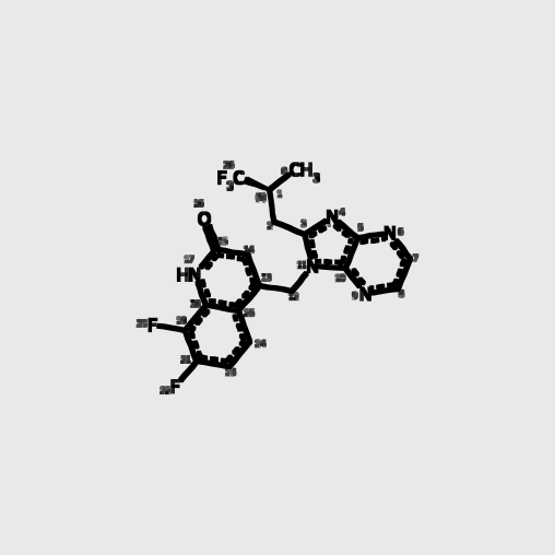 C[C@@H](Cc1nc2nccnc2n1Cc1cc(=O)[nH]c2c(F)c(F)ccc12)C(F)(F)F